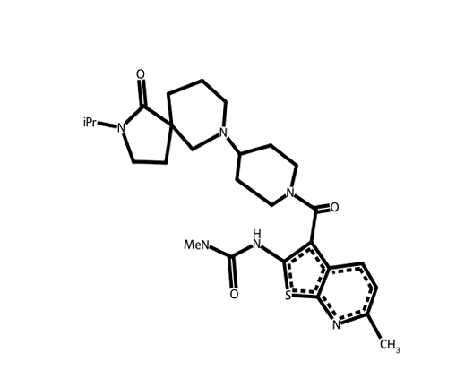 CNC(=O)Nc1sc2nc(C)ccc2c1C(=O)N1CCC(N2CCCC3(CCN(C(C)C)C3=O)C2)CC1